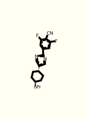 CCC[C@H]1CC[C@H](c2cnc(-c3cc(F)c(C#N)c(F)c3)nc2)CC1